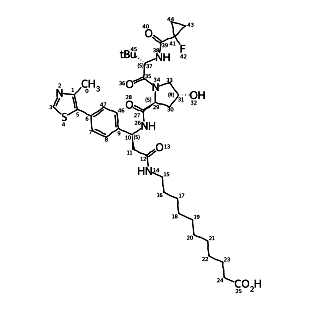 Cc1ncsc1-c1ccc([C@H](CC(=O)NCCCCCCCCCCC(=O)O)NC(=O)[C@@H]2C[C@@H](O)CN2C(=O)[C@@H](NC(=O)C2(F)CC2)C(C)(C)C)cc1